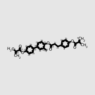 C=C(C)C(=O)Oc1ccc(CCC(=O)Oc2ccc(-c3ccc(OC(=O)C(=C)C)cc3)cc2F)cc1